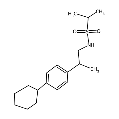 CC(CNS(=O)(=O)C(C)C)c1ccc(C2CCCCC2)cc1